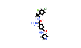 NC(C(=O)NCC1(c2ccc(Cl)cc2F)CC1)C1CCC(C(=O)Nc2ccncc2)CC1